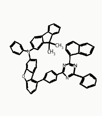 CC1(C)c2ccccc2-c2ccc(N(c3ccccc3)c3ccc4c(c3)oc3cccc(-c5ccc(-c6nc(-c7ccccc7)nc(-c7cccc8ccccc78)n6)cc5)c34)cc21